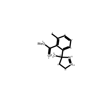 COC(=O)c1c(C)cccc1C1(C(F)(F)F)CCN=N1